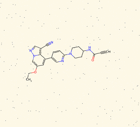 C#CC(=O)NC1CCN(c2ccc(-c3cc(OCC)cn4ncc(C#N)c34)cn2)CC1